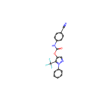 N#Cc1ccc(NC(=O)Oc2cnn(-c3ccccc3)c2C(F)(F)F)cc1